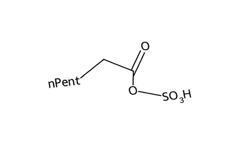 CCCCCCC(=O)OS(=O)(=O)O